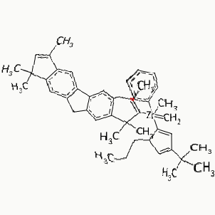 [CH2]=[Zr]([CH3])([C]1=CC(C(C)(C)C)=CC1CCC)([C]1=C(C)c2cc3c(cc2C1(C)C)Cc1cc2c(cc1-3)C(C)=CC2(C)C)[c]1ccccc1